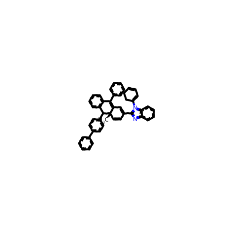 CC12C=CC(c3nc4ccccc4n3C3=CC=CCC3)=CC1=C(c1ccccc1)c1ccccc1C2c1ccc(-c2ccccc2)cc1